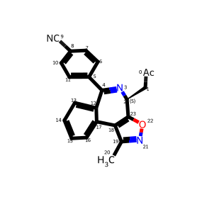 CC(=O)C[C@@H]1N=C(c2ccc(C#N)cc2)c2ccccc2-c2c(C)noc21